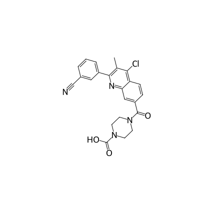 Cc1c(-c2cccc(C#N)c2)nc2cc(C(=O)N3CCN(C(=O)O)CC3)ccc2c1Cl